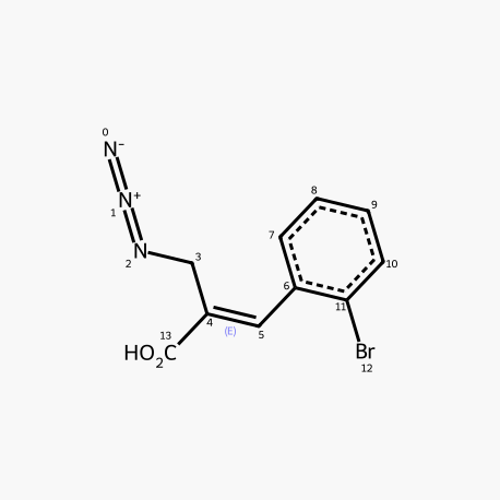 [N-]=[N+]=NC/C(=C\c1ccccc1Br)C(=O)O